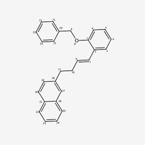 C(=C\c1ccccc1OCc1ccccc1)/CCc1ccc2ccccc2c1